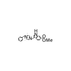 COC(=O)c1ccc2c(CN3C[C@@H](C)N(Cc4ccccc4)[C@@H](C)C3)c[nH]c2c1